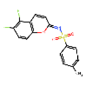 Cc1ccc(S(=O)(=O)N=c2ccc3c(F)c(F)ccc3o2)cc1